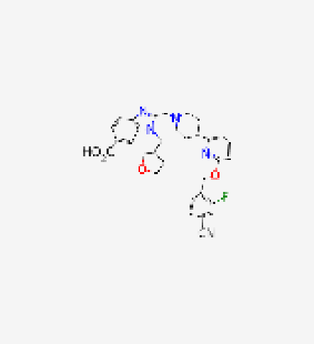 N#Cc1ccc(COc2cccc(C3CCN(Cc4nc5ccc(C(=O)O)cc5n4CC4CCOC4)CC3)n2)c(F)c1